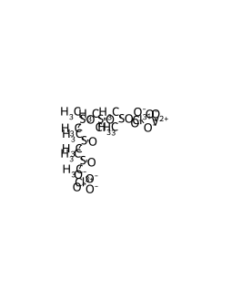 CS(C)=O.CS(C)=O.CS(C)=O.CS(C)=O.CS(C)=O.[O-][Cl+3]([O-])([O-])[O-].[O-][Cl+3]([O-])([O-])[O-].[O]=[V+2]